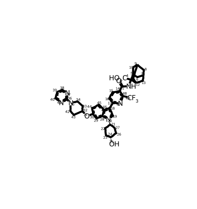 O=C(NC1(C(=O)O)C2CC3CC(C2)CC1C3)c1ccc(-c2cn([C@H]3CC[C@@H](O)CC3)c3cc(OC4CCN(c5ncccn5)CC4)ccc23)nc1C(F)(F)F